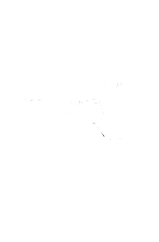 N[C@@H](C[C@H](CCCCF)C(=O)O)C(=O)O